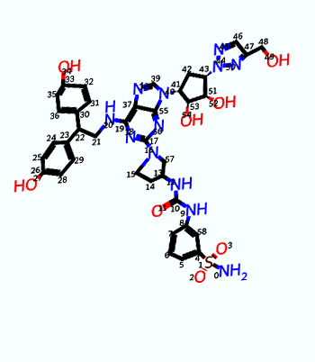 NS(=O)(=O)c1cccc(NC(=O)NC2CCN(c3nc(NCC(c4ccc(O)cc4)c4ccc(O)cc4)c4ncn([C@@H]5C[C@H](n6ncc(CO)n6)[C@@H](O)[C@H]5O)c4n3)C2)c1